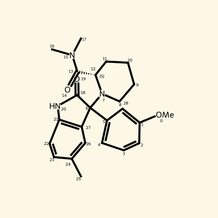 COc1cccc(C2(N3CCCC[C@H]3C(=O)N(C)C)C(=O)Nc3ccc(C)cc32)c1